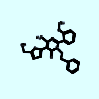 CCCCOc1ccccc1-c1nc(C)c(-c2ccc(CO)s2)c(=O)n1CCc1ccccc1